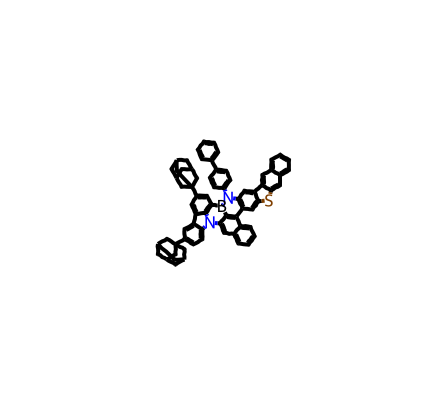 c1ccc(-c2ccc(N3B4c5c(cc6ccccc6c5-c5cc6sc7cc8ccccc8cc7c6cc53)-n3c5ccc(C67CC8CC(CC(C8)C6)C7)cc5c5cc(C67CC8CC(CC(C8)C6)C7)cc4c53)cc2)cc1